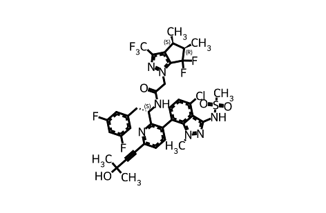 C[C@@H]1c2c(C(F)(F)F)nn(CC(=O)N[C@@H](Cc3cc(F)cc(F)c3)c3nc(C#CC(C)(C)O)ccc3-c3ccc(Cl)c4c(NS(C)(=O)=O)nn(C)c34)c2C(F)(F)[C@@H]1C